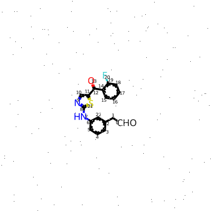 O=CCc1cccc(Nc2ncc(C(=O)c3ccccc3F)s2)c1